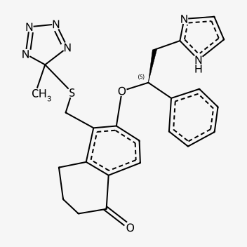 CC1(SCc2c(O[C@@H](Cc3ncc[nH]3)c3ccccc3)ccc3c2CCCC3=O)N=NN=N1